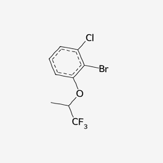 CC(Oc1cccc(Cl)c1Br)C(F)(F)F